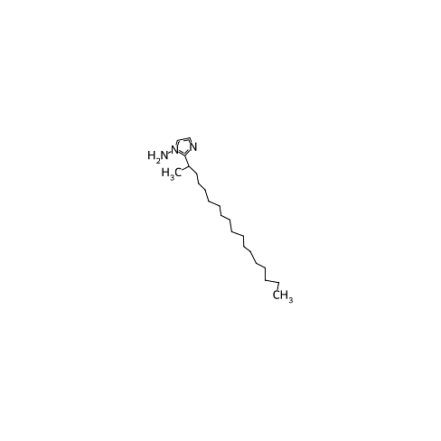 CCCCCCCCCCCCCCCCC(C)c1nccn1N